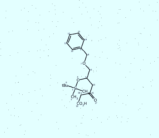 CC(C)(C)[Si](C)(C)OC(COCc1ccccc1)CC(=O)CC(=O)O